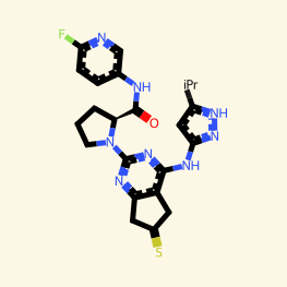 CC(C)c1cc(Nc2nc(N3CCC[C@H]3C(=O)Nc3ccc(F)nc3)nc3c2CC(=S)C3)n[nH]1